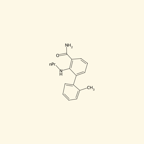 CCCNc1c(C(N)=O)cccc1-c1ccccc1C